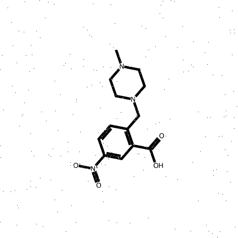 CN1CCN(Cc2ccc([N+](=O)[O-])cc2C(=O)O)CC1